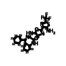 Nc1sc(C(F)(F)F)nc1-c1nnc(N[C@H]2N=C(c3ccccc3)c3ccccc3NC2=O)o1